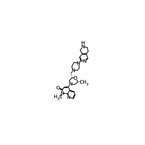 C[C@@H]1CN(c2cc(=O)n(C)c3ncccc23)C[C@H](CN2CCN(c3cc4c(cn3)CCNC4)CC2)O1